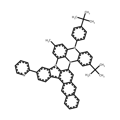 Cc1cc2c3c(c1)-n1c4cc(-c5ccccn5)ccc4c4c5cc6ccccc6cc5cc(c41)B3c1cc(C(C)(C)C)ccc1N2c1ccc(C(C)(C)C)cc1